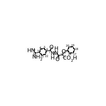 N=C(N)c1ccc(C(=O)NNC(=O)C(Oc2ccccc2)C(=O)O)cc1